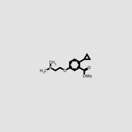 COC(=O)c1cc(OCCN(C)C)ccc1C1CC1